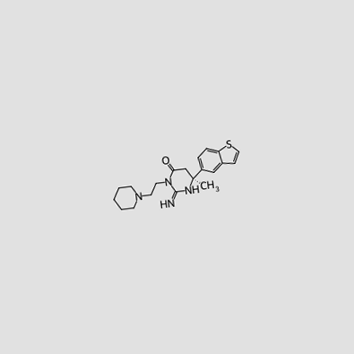 C[C@@]1(c2ccc3sccc3c2)CC(=O)N(CCN2CCCCC2)C(=N)N1